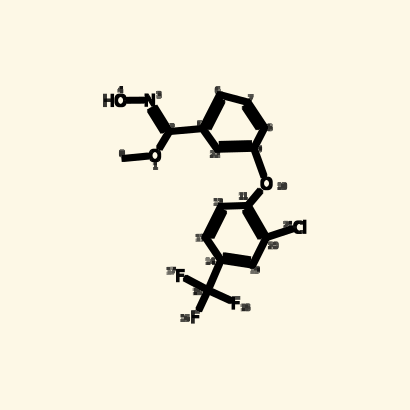 COC(=NO)c1cccc(Oc2ccc(C(F)(F)F)cc2Cl)c1